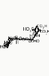 O=CC(CCCCNC(=O)CN1CCN(CC(=O)O)CCN(CC(=O)O)CCN(CC(=O)O)CC1)NC(=O)CCOCCOCCOCCNC(=O)COc1ccc2c(C(=O)NCC(=O)N3CCCC3B(O)O)ccnc2c1